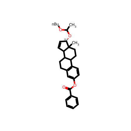 CCCCOC(C)O[C@H]1C=CC2C3CCc4cc(OC(=O)c5ccccc5)ccc4C3CCC21C